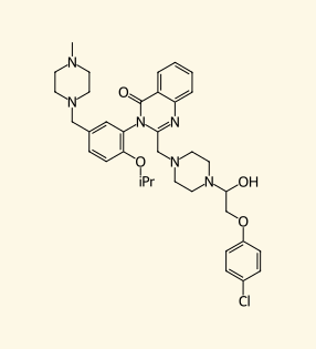 CC(C)Oc1ccc(CN2CCN(C)CC2)cc1-n1c(CN2CCN(C(O)COc3ccc(Cl)cc3)CC2)nc2ccccc2c1=O